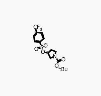 CC(C)(C)OC(=O)N1CC[C@H](OS(=O)(=O)c2ccc(C(F)(F)F)cc2)C1